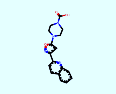 O=C(O)N1CCN(c2cc(-c3ccc4ccccc4n3)no2)CC1